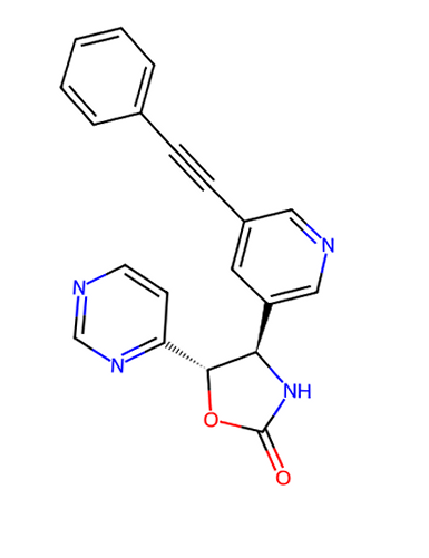 O=C1N[C@H](c2cncc(C#Cc3ccccc3)c2)[C@@H](c2ccncn2)O1